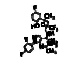 C=C(NCC1(C(F)(F)F)CC(C)(c2cc(F)ccc2O)O1)c1cnn(-c2ccc(F)cc2F)c1/N=C(/C)N